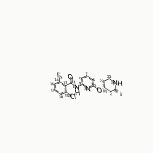 C[C@@H]1C[C@H](Oc2cccc(NC(=O)c3c(F)cccc3Cl)n2)CCN1